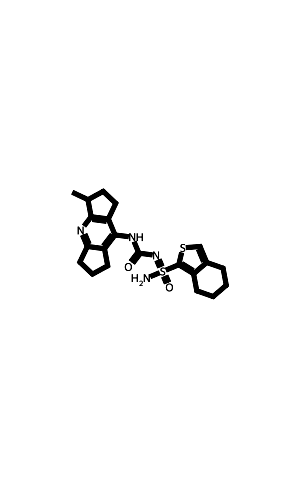 CC1CCc2c1nc1c(c2NC(=O)N=S(N)(=O)c2scc3c2CCCC3)CCC1